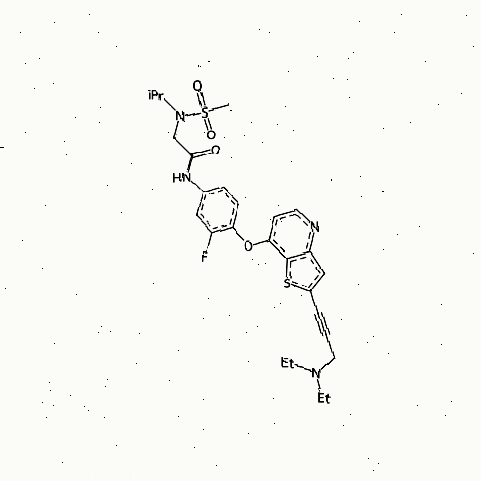 CCN(CC)CC#Cc1cc2nccc(Oc3ccc(NC(=O)CN(C(C)C)S(C)(=O)=O)cc3F)c2s1